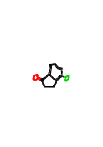 O=C1CCc2c(Cl)cccc21